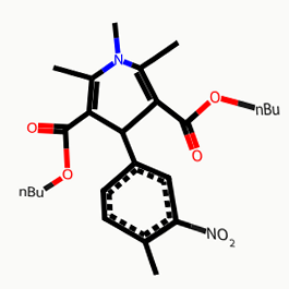 CCCCOC(=O)C1=C(C)N(C)C(C)=C(C(=O)OCCCC)C1c1ccc(C)c([N+](=O)[O-])c1